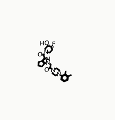 Cc1cccc(N2CCN(C(=O)Cn3nc(C(=O)N4CC[C@@H](F)[C@@H](O)C4)c4c3CCC4)CC2)c1C